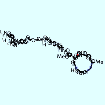 CO[C@H]1CC2CCCC(O2)C(=O)C(=O)N2CCCC[C@H]2C(=O)O[C@H](CC[C@@H]2CC[C@@H](OC(=O)NCc3cnc(N4CCN(C(=O)CN(C)CC(=O)NCCOCCOCCC(=O)N5CCc6cc(Cn7nc(-c8ccc9oc(N)nc9c8)c8c(N)ncnc87)ccc6C5)CC4)nc3)[C@H](OC)C2)CC(=O)[C@H](C)/C=C(\C)[C@@H](O)[C@@H](O)C(=O)[C@H](C)C[C@H](C)/C=C/C=C/C=C/1C